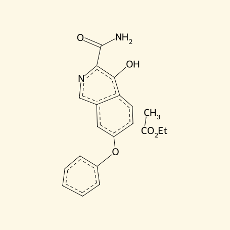 CCOC(C)=O.NC(=O)c1ncc2cc(Oc3ccccc3)ccc2c1O